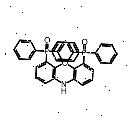 O=P(c1ccccc1)(c1ccccc1)c1cccc2c1Oc1c(cccc1P(=O)(c1ccccc1)c1ccccc1)N2